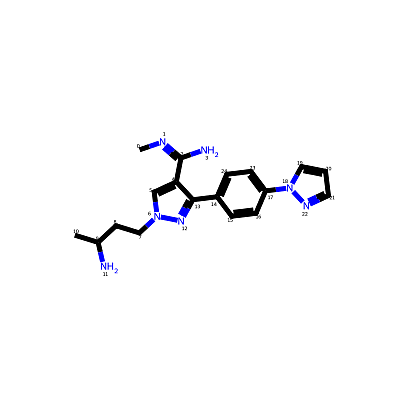 C/N=C(/N)c1cn(CCC(C)N)nc1-c1ccc(-n2cccn2)cc1